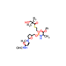 CC(C)OC(=O)C(C)NP(OCCSC(=O)C(C)(C)CO)OCC1CCC(N(C)/C=C\C(=O)NC=O)O1